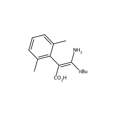 CCCCC(N)=C(C(=O)O)c1c(C)cccc1C